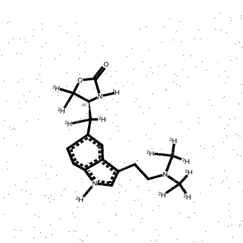 [2H]N1C(=O)OC([2H])([2H])[C@@H]1C([2H])([2H])c1ccc2c(c1)c(CCN(C([2H])([2H])[2H])C([2H])([2H])[2H])cn2[2H]